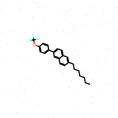 CCCCCCCc1ccc2cc(-c3ccc(OC(F)(F)F)cc3)ccc2c1